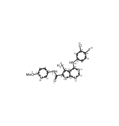 COc1ccc(NC(=O)c2sc3ncnc(Nc4ccc(F)c(Cl)c4)c3c2N)cn1